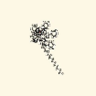 CCCCCCCCCCCCCCCCCCC[C@H]1OC(C)(C)O[C@@]1([C@@H]1O[C@H](COCc2ccccc2)[C@H](OCc2ccccc2)[C@H](OCc2ccccc2)[C@H]1OCc1ccccc1)[C@@H](CC)OS(C)(=O)=O